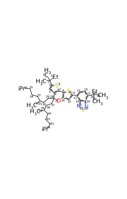 CCC(C)(C)c1cc2c(s1)-c1sc(-c3ccc(C(C)(C)CC)c4nsnc34)cc1OC2(CCC(C)CCCC(C)C)CCC(C)CCCC(C)C